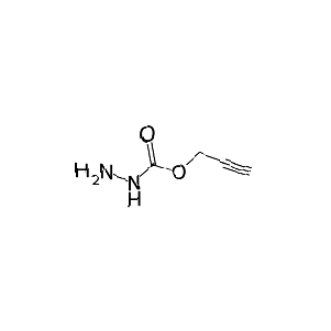 C#CCOC(=O)NN